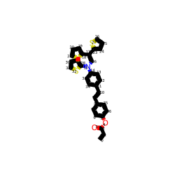 C=CC(=O)Oc1ccc(C=Cc2ccc(N(C=C(c3cccs3)c3cccs3)c3cccs3)cc2)cc1